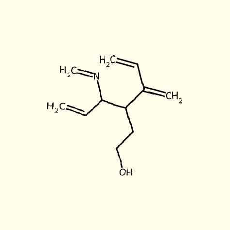 C=CC(=C)C(CCO)C(C=C)N=C